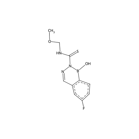 COCNC(=S)N1N=Cc2cc(F)ccc2B1O